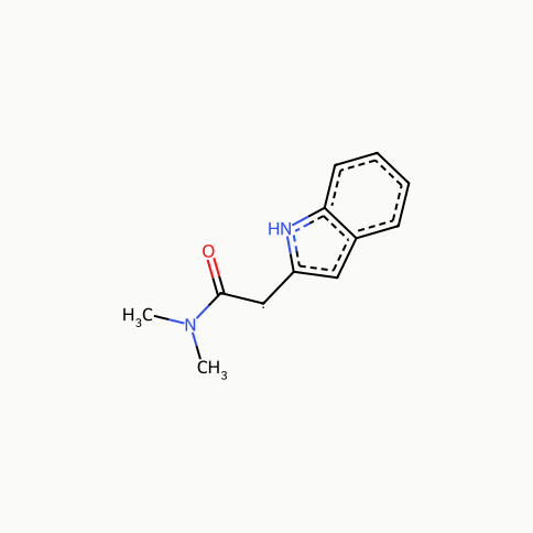 CN(C)C(=O)[CH]c1cc2ccccc2[nH]1